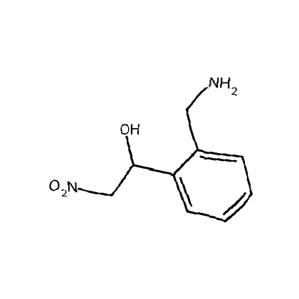 NCc1ccccc1C(O)C[N+](=O)[O-]